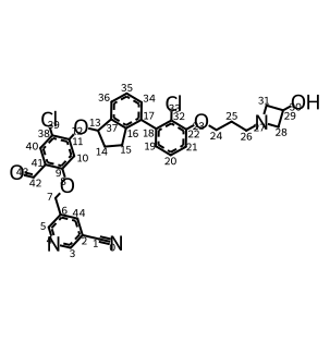 N#Cc1cncc(COc2cc(OC3CCc4c(-c5cccc(OCCCN6CC(O)C6)c5Cl)cccc43)c(Cl)cc2C=O)c1